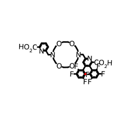 O=C(O)c1cccc(CN2CCOCCOCCN(Cc3cc(-c4c(F)c(F)cc(F)c4F)c(-c4c(F)c(F)cc(F)c4F)c(C(=O)O)n3)CCOCCOCC2)n1